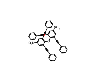 O=[N+]([O-])c1cc(C#Cc2ccccc2)c(Oc2c(C#Cc3ccccc3)cc([N+](=O)[O-])cc2C#Cc2ccccc2)c(C#Cc2ccccc2)c1